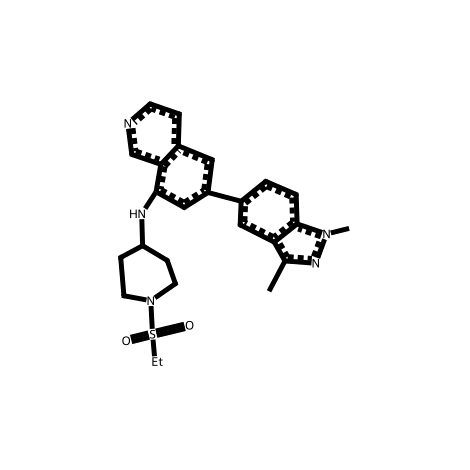 CCS(=O)(=O)N1CCC(Nc2cc(-c3ccc4c(c3)c(C)nn4C)cc3ccncc23)CC1